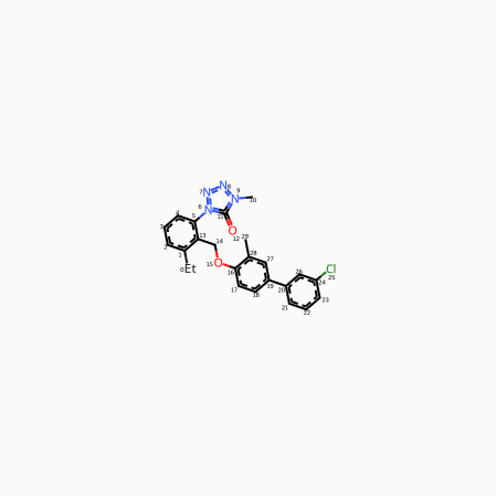 CCc1cccc(-n2nnn(C)c2=O)c1COc1ccc(-c2cccc(Cl)c2)cc1C